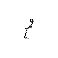 CCCCCCCCCCCCCCCCC(C)OOP(=O)([O-])OCC[n+]1ccccc1